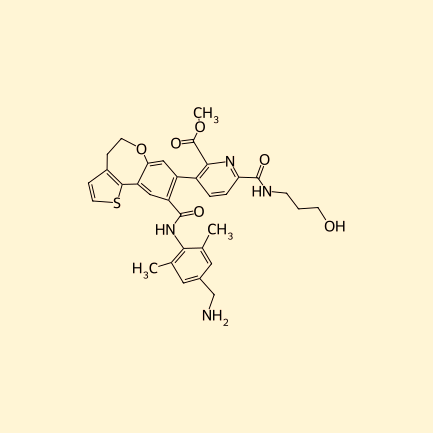 COC(=O)c1nc(C(=O)NCCCO)ccc1-c1cc2c(cc1C(=O)Nc1c(C)cc(CN)cc1C)-c1sccc1CCO2